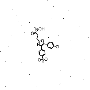 CN(O)C(=O)CCc1nc(-c2ccc(S(C)(=O)=O)cc2)c(-c2ccc(Cl)cc2)o1